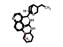 CCC1CN2CCC1C[C@@H]2[C@H](NC(=S)NC1CCCCC1)c1ccnc2ccc(OC)cc12